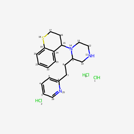 Cl.Cl.Cl.c1ccc(CCC2CNCCN2C2CCSc3ccccc32)nc1